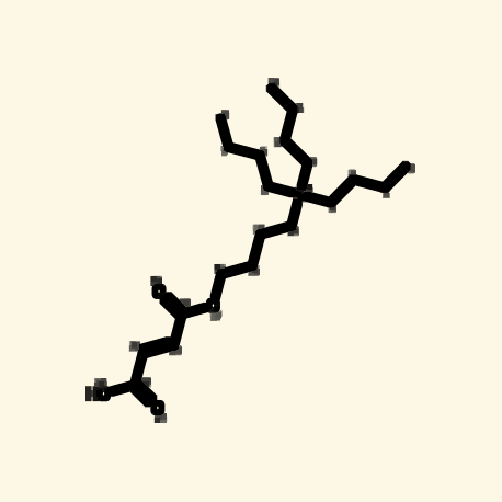 CCCC[Si](CCCC)(CCCC)CCCCOC(=O)/C=C/C(=O)O